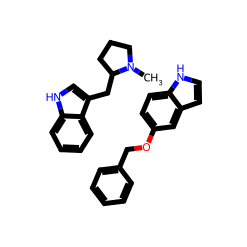 CN1CCCC1Cc1c[nH]c2ccccc12.c1ccc(COc2ccc3[nH]ccc3c2)cc1